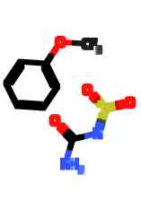 FC(F)(F)Oc1ccccc1.NC(=O)N=S(=O)=O